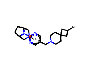 CC(=O)C1CC2(CCN(Cc3cnc(N4C5CCC4CN(C)C5)nc3)CC2)C1